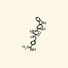 C[C@H](NC(=O)[C@H]1Cc2c([nH]c3ccccc23)CN1)C(=O)NCc1ccc(C(=N)N)cc1